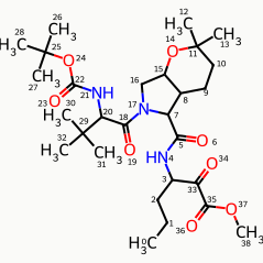 CCCC(NC(=O)C1C2CCC(C)(C)OC2CN1C(=O)C(NC(=O)OC(C)(C)C)C(C)(C)C)C(=O)C(=O)OC